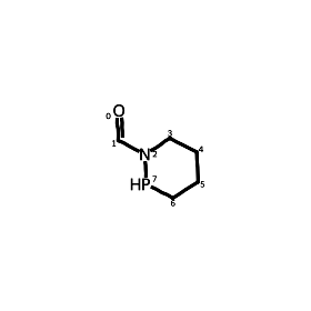 O=CN1CCCCP1